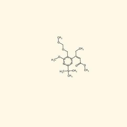 CC/C(=C/C(=O)OC)c1cc([Si](C)(C)C)nc(OC)c1COCOC